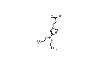 CCOP(OCC)c1cnn(CCC(=O)O)c1